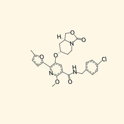 COc1nc(-c2ccc(C)o2)c(O[C@H]2CCN3C(=O)OC[C@@H]3C2)cc1C(=O)NCc1ccc(Cl)cc1